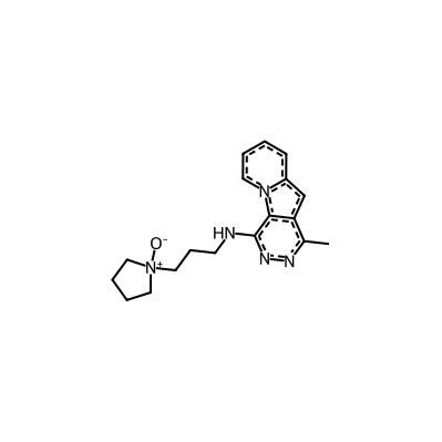 Cc1nnc(NCCC[N+]2([O-])CCCC2)c2c1cc1ccccn12